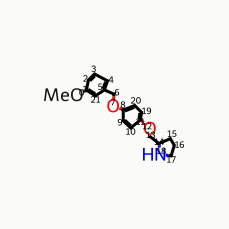 COc1cccc(COc2ccc(OCC3CCCN3)cc2)c1